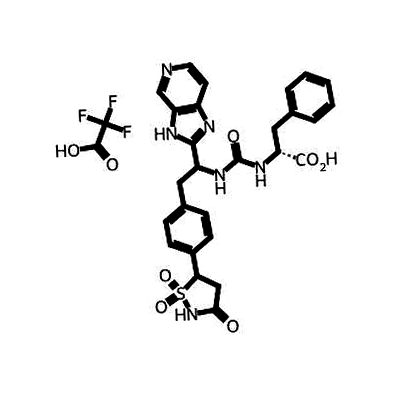 O=C(O)C(F)(F)F.O=C1CC(c2ccc(CC(NC(=O)N[C@H](Cc3ccccc3)C(=O)O)c3nc4ccncc4[nH]3)cc2)S(=O)(=O)N1